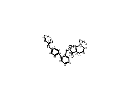 C=CC(=O)Oc1ccc(-c2ccccc2CN(C)C(=O)C2CCCN(C)C2)cc1